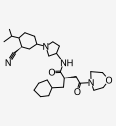 CC(C)C1CCC(N2CCC(NC(=O)[C@@H](CC(=O)N3CCOCC3)CC3CCCCC3)C2)C[C@H]1C#N